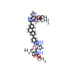 COC(=O)NC(C(=O)N1CCCC1c1nc2ccc(-c3ccc4c(c3)CCc3cc(-c5cnc(C6CCCN6C(=O)OC(C)(C)C)[nH]5)ccc3-4)cc2[nH]1)C(C)C